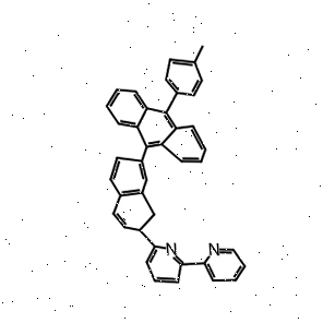 Cc1ccc(-c2c3ccccc3c(-c3ccc4c(c3)CC(c3cccc(-c5ccccn5)n3)C=C4)c3ccccc23)cc1